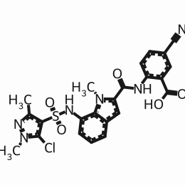 Cc1nn(C)c(Cl)c1S(=O)(=O)Nc1cccc2cc(C(=O)Nc3ccc(C#N)cc3C(=O)O)n(C)c12